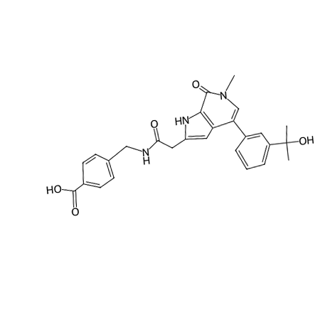 Cn1cc(-c2cccc(C(C)(C)O)c2)c2cc(CC(=O)NCc3ccc(C(=O)O)cc3)[nH]c2c1=O